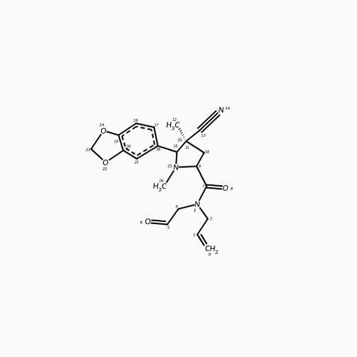 C=CCN(CC=O)C(=O)C1C[C@](C)(C#N)C(c2ccc3c(c2)OCO3)N1C